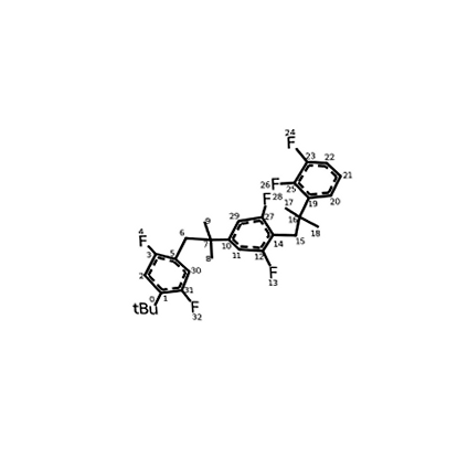 CC(C)(C)c1cc(F)c(CC(C)(C)c2cc(F)c(CC(C)(C)c3cccc(F)c3F)c(F)c2)cc1F